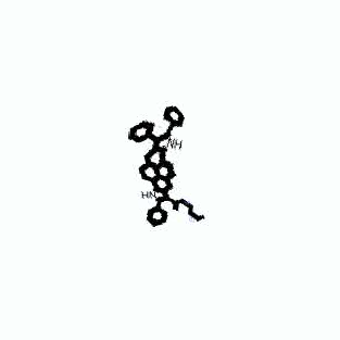 C=C(/C=C\C=C/C)c1c(-c2ccccc2)[nH]c2c1cc1ccc3c4[nH]c(-c5ccccc5)c(-c5ccccc5)c4cc4ccc2c1c43